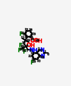 Cc1ncc2c(NCC(O)(CC(C)(C)c3c(F)cccc3OO)C(F)(F)F)cc(F)cc2n1